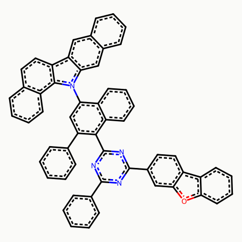 c1ccc(-c2nc(-c3ccc4c(c3)oc3ccccc34)nc(-c3c(-c4ccccc4)cc(-n4c5cc6ccccc6cc5c5ccc6ccccc6c54)c4ccccc34)n2)cc1